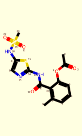 CC(=O)Oc1cccc(C)c1C(=O)Nc1ncc(NS(C)(=O)=O)s1